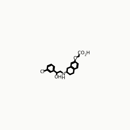 O=C(O)COc1ccc2c(c1)C[C@@H](NCC(O)c1cccc(Cl)c1)CC2